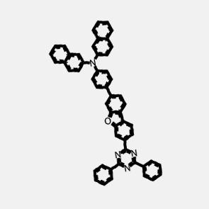 c1ccc(-c2nc(-c3ccccc3)nc(-c3ccc4c(c3)oc3cc(-c5ccc(N(c6ccc7ccccc7c6)c6ccc7ccccc7c6)cc5)ccc34)n2)cc1